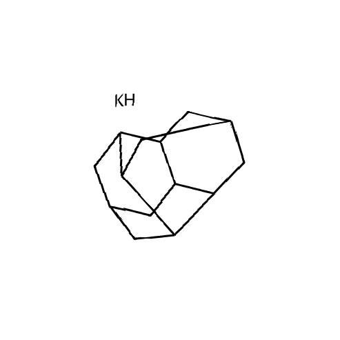 C1C2CC3C4CC5CC(C14)C(C2)C3C5.[KH]